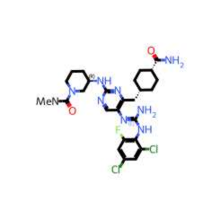 CNC(=O)N1CCC[C@@H](Nc2ncc(/N=C(\N)Nc3c(F)cc(Cl)cc3Cl)c(C[C@H]3CC[C@@H](C(N)=O)CC3)n2)C1